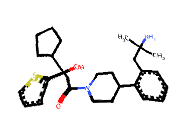 CC(C)(N)Cc1ccccc1C1CCN(C(=O)C(O)(c2cccs2)C2CCCC2)CC1